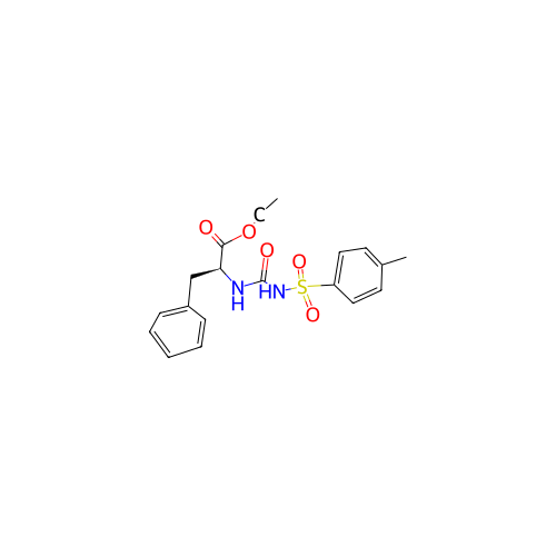 CCOC(=O)[C@H](Cc1ccccc1)NC(=O)NS(=O)(=O)c1ccc(C)cc1